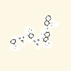 O=S(=O)(O)c1cccc(Nc2nc(Cl)nc(Nc3cc(Nc4nc(Cl)nc(Nc5cc(S(=O)(=O)O)cc6ccc(/N=N/c7ccc8ccccc8c7S(=O)(=O)O)c(O)c56)n4)ccc3S(=O)(=O)O)n2)c1